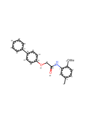 COc1ccc(C)cc1NC(=O)COc1ccc(-c2ccccc2)cc1